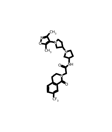 Cc1noc(C)c1N1CCC(N2CCC(NC(=O)CN3CCc4ccc(C(F)(F)F)cc4C3=O)C2)C1